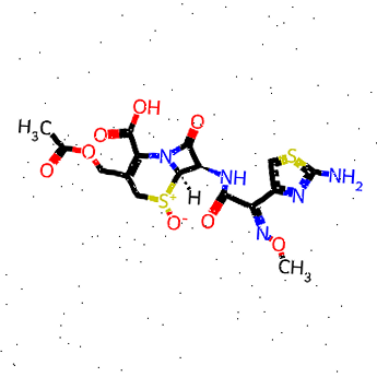 CO/N=C(/C(=O)N[C@@H]1C(=O)N2C(C(=O)O)=C(COC(C)=O)C[S+]([O-])[C@H]12)c1csc(N)n1